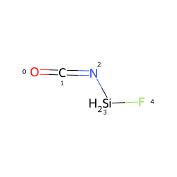 O=C=N[SiH2]F